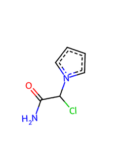 NC(=O)C(Cl)n1cccc1